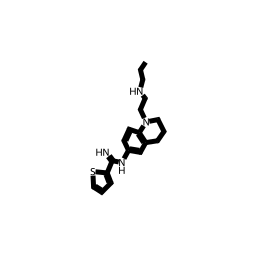 CCCNCCN1CCCc2cc(NC(=N)c3cccs3)ccc21